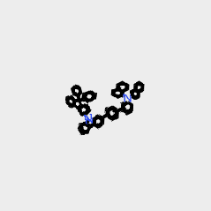 c1ccc(C2(c3ccccc3)c3ccccc3-c3cc(-n4c5ccccc5c5ccc(-c6ccc(-c7cccc(N(c8ccc9ccccc9c8)c8cccc9ccccc89)c7)cc6)cc54)ccc32)cc1